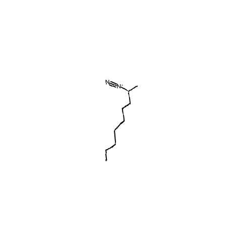 CCCCCCCC(C)[N+]#N